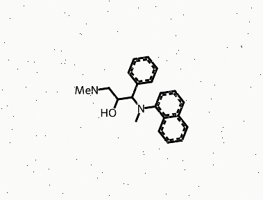 CNCC(O)C(c1ccccc1)N(C)c1cccc2ccccc12